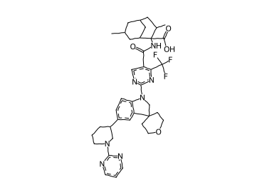 CC1CC2CC(C)C(NC(=O)c3cnc(N4CC5(CCOCC5)c5cc(C6CCCN(c7ncccn7)C6)ccc54)nc3C(F)(F)F)(C(=O)O)C(C1)C2